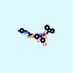 COc1ccc(C(NC(=O)OCC2c3ccccc3-c3ccccc32)c2ccc(OCC(=O)CNCc3ccc(C)cc3)cc2)c(OC)c1